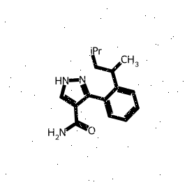 CC(C)CC(C)c1ccccc1-c1n[nH]cc1C(N)=O